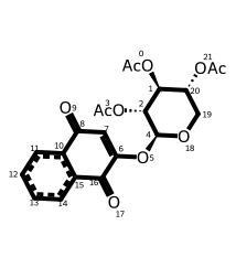 CC(=O)O[C@@H]1[C@@H](OC(C)=O)[C@H](OC2=CC(=O)c3ccccc3C2=O)OC[C@H]1OC(C)=O